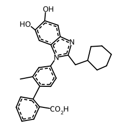 Cc1cc(-n2c(CC3CCCCC3)nc3cc(O)c(O)cc32)ccc1-c1ccccc1C(=O)O